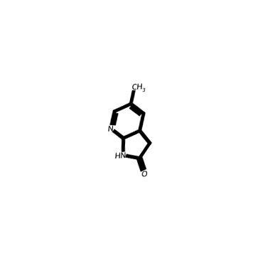 CC1=CC2CC(=O)NC2N=C1